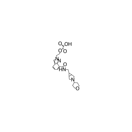 O=C(O)C(=O)OCCn1cc2cccc(C(=O)NCC3C4CN(C5CCOCC5)CC34)c2n1